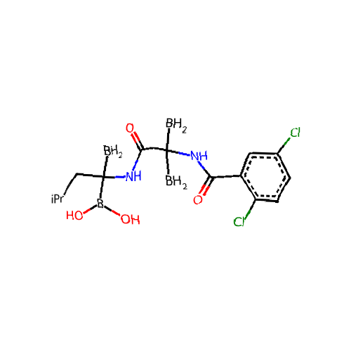 BC(CC(C)C)(NC(=O)C(B)(B)NC(=O)c1cc(Cl)ccc1Cl)B(O)O